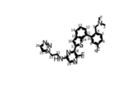 CN(C)Cc1ccc(F)cc1-c1cccc2cc(-c3nc(NCCn4ccnn4)cnc3F)sc12